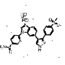 CS(=O)(=O)c1ccc(-c2n[nH]cc2-c2ccc3ncn(-c4ccc(C(N)=O)cn4)c3c2)cc1.Cl.Cl.Cl